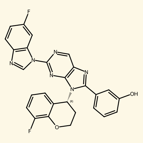 Oc1cccc(-c2nc3cnc(-n4cnc5ccc(F)cc54)nc3n2[C@@H]2CCOc3c(F)cccc32)c1